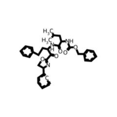 CC(C)CC(NC(=O)OCc1ccccc1)C(=O)NC(CCc1ccccc1)C(=O)C1=NC(c2ccccc2)CO1